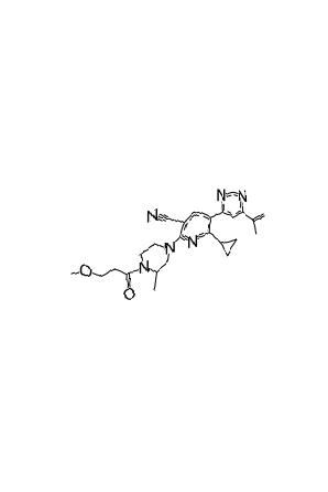 C=C(C)c1cc(-c2cc(C#N)c(N3CCN(C(=O)CCOC)C(C)C3)nc2C2CC2)ncn1